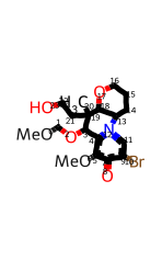 COCOC1c2c(OC)c(=O)c(Br)cn2C2CCCOC2C1(C)CCO